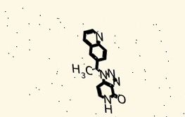 C[C@H](c1ccc2ncccc2c1)n1nnc2c(=O)[nH]ccc21